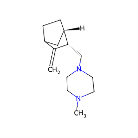 C=C1C2CC[C@@H](C2)[C@@H]1CN1CCN(C)CC1